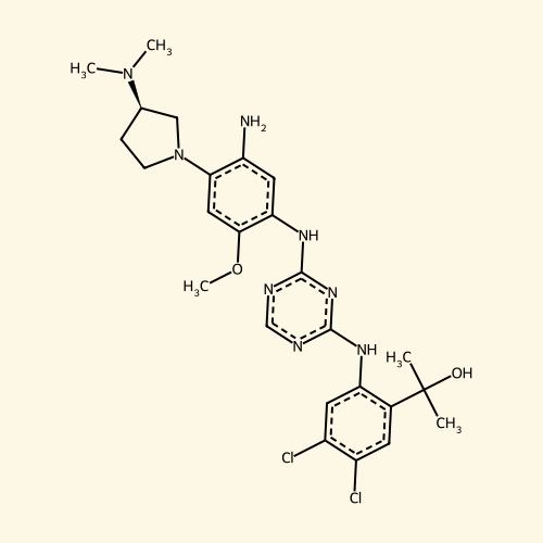 COc1cc(N2CC[C@@H](N(C)C)C2)c(N)cc1Nc1ncnc(Nc2cc(Cl)c(Cl)cc2C(C)(C)O)n1